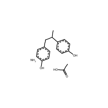 CC(=O)O.CC(Cc1ccc(O)cc1)c1ccc(O)cc1.N